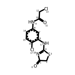 O=C1CSC(Nc2cc(NC(=O)CCl)ccc2Cl)=N1